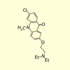 CCN(CC)CCOc1ccc2c(c1)c(=O)c1ccc(Cl)cc1n2C